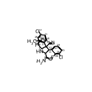 CC(C)(C)CC1NC(C(N)=O)C(c2cccc(Cl)c2F)C1(C#N)c1ccc(Cl)cc1F